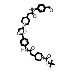 CC(C)(C)OC(=O)N1CCC(CC(=O)Nc2ccc(C3OCC(N4CCC(CC(=O)Nc5ccc(C=O)cc5)CC4)O3)cc2)CC1